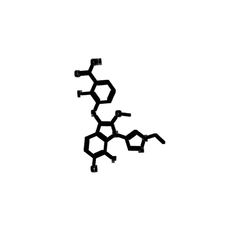 CCn1cc(-n2c(OC)c(Sc3cccc(C(=O)O)c3F)c3ccc(Cl)c(F)c32)cn1